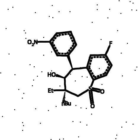 CCCC[C@@]1(CC)CS(=O)(=O)c2ccc(F)cc2[C@H](c2cccc([N+](=O)[O-])c2)[C@@H]1O